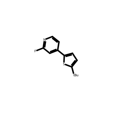 CC(C)(C)c1ccc(-c2ccnc(F)c2)s1